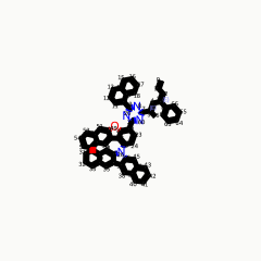 C=C/C=C(\C=C(/C)c1nc(-c2cccc3ccccc23)nc(-c2ccc(-n3c4cc5ccccc5cc4c4cc5ccccc5cc43)c3c2oc2cc4ccccc4cc23)n1)c1ccccc1